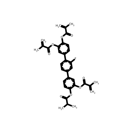 C=C(C)C(=O)Oc1ccc(-c2ccc(-c3ccc(OC(=O)C(C)C)c(OC(=O)C(=C)C)c3)cc2F)cc1OC(=O)C(=C)C